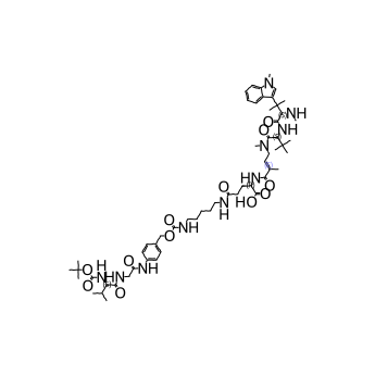 CN[C@H](C(=O)N[C@H](C(=O)N(C)C/C=C(\C)C(=O)N[C@H](CCC(=O)NCCCCCNC(=O)OCc1ccc(NC(=O)CNC(=O)[C@@H](NC(=O)OC(C)(C)C)C(C)C)cc1)C(=O)O)C(C)(C)C)C(C)(C)c1cn(C)c2ccccc12